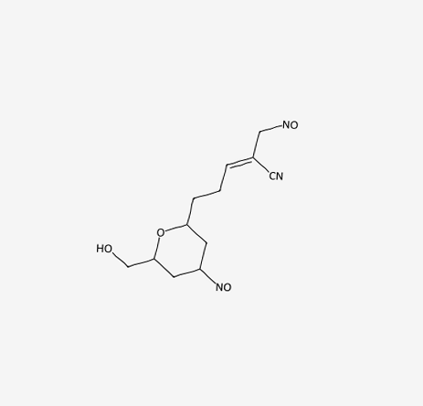 N#C/C(=C\CCC1CC(N=O)CC(CO)O1)CN=O